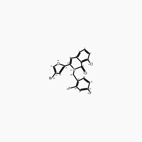 O=c1c2c(Cl)cccc2cc(-c2cc(Br)co2)n1Cc1ccc(F)cc1F